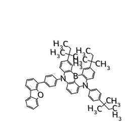 CCC(C)(C)c1ccc(N2c3ccc(C(C)(C)CC)cc3B3c4cc(C(C)(C)CC)ccc4N(c4ccc(-c5cccc6c5oc5ccccc56)cc4)c4cccc2c43)cc1